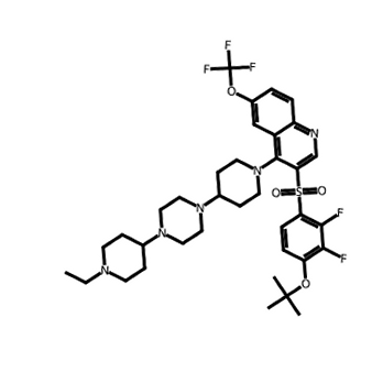 CCN1CCC(N2CCN(C3CCN(c4c(S(=O)(=O)c5ccc(OC(C)(C)C)c(F)c5F)cnc5ccc(OC(F)(F)F)cc45)CC3)CC2)CC1